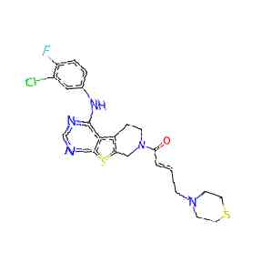 O=C(/C=C/CN1CCSCC1)N1CCc2c(sc3ncnc(Nc4ccc(F)c(Cl)c4)c23)C1